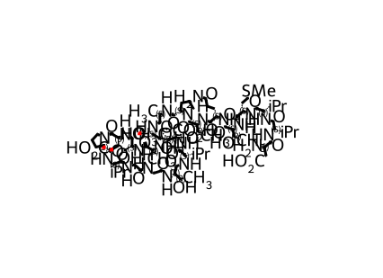 CSCC[C@H](NC(=O)[C@@H](NC(=O)[C@@H](NC(=O)[C@@H](N)CC(=O)O)C(C)C)C(C)C)C(=O)N[C@H](C(=O)N[C@@H](CCC(N)=O)C(=O)N[C@H](C(=O)N1CCC[C@H]1C(=O)N[C@@H](C)C(=O)N[C@@H](CO)C(=O)N[C@@H](C)C(=O)N[C@@H](CO)C(=O)N[C@@H](CCC(=O)O)C(=O)N1CCC[C@H]1C(=O)N[C@H](C(=O)NCC(=O)NCC(=O)N[C@H](C(=O)N[C@H](C(=O)N[C@H](C(=O)O)[C@@H](C)O)C(C)C)[C@@H](C)O)C(C)C)[C@@H](C)O)[C@@H](C)O